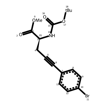 COC(=O)[C@H](CC#Cc1ccc(Br)cc1)NC(=O)OC(C)(C)C